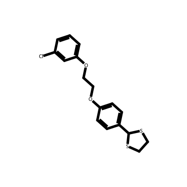 Clc1cccc(OCCOc2ccc(C3SCCS3)cc2)c1